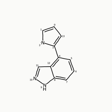 C1=C[N]C(c2cccc3[nH]ncc23)=C1